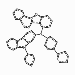 c1ccc(-c2ccc(N(c3ccc4c5ccccc5n(-c5ccccc5)c4c3)c3cccc4oc5c6ccccc6ncc5c34)cc2)cc1